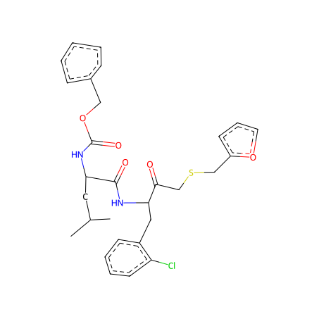 CC(C)CC(NC(=O)OCc1ccccc1)C(=O)NC(Cc1ccccc1Cl)C(=O)CSCc1ccco1